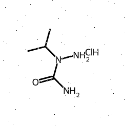 CC(C)N(N)C(N)=O.Cl